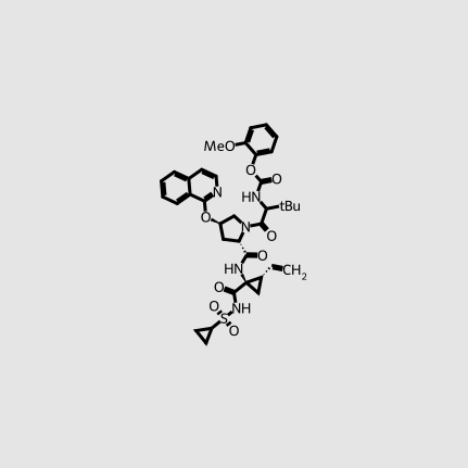 C=C[C@@H]1C[C@]1(NC(=O)[C@@H]1C[C@@H](Oc2nccc3ccccc23)CN1C(=O)C(NC(=O)Oc1ccccc1OC)C(C)(C)C)C(=O)NS(=O)(=O)C1CC1